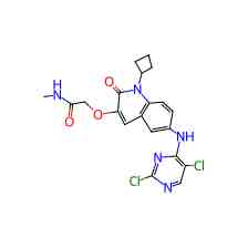 CNC(=O)COc1cc2cc(Nc3nc(Cl)ncc3Cl)ccc2n(C2CCC2)c1=O